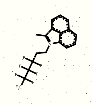 CC1=[N+](CCC(F)(F)C(F)(F)C(F)(F)C(F)(F)F)c2cccc3cccc1c23